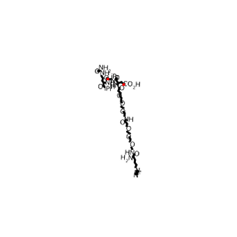 CC(C)C(=O)C(CCCNC(N)=O)NC(=O)C(NC(=O)C(CCC(=O)O)NC(=O)CCOCCOCCOCCNC(=O)CCOCCOCCOCCNC(=O)C(N)CCCCN=[N+]=[N-])C(C)C